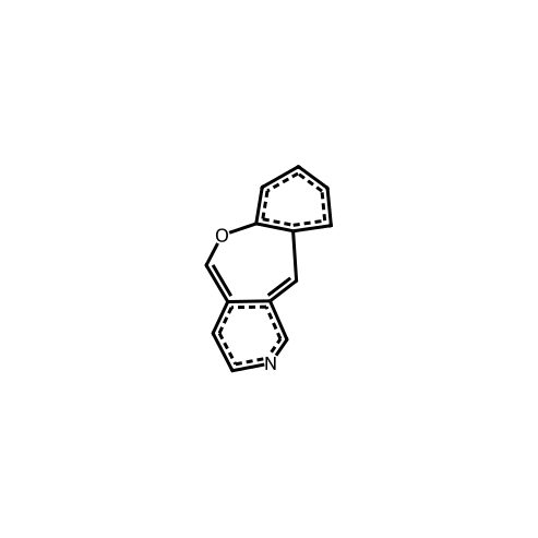 C1=c2ccncc2=Cc2ccccc2O1